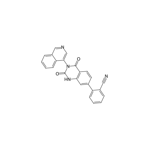 N#Cc1ccccc1-c1ccc2c(=O)n(-c3cncc4ccccc34)c(=O)[nH]c2c1